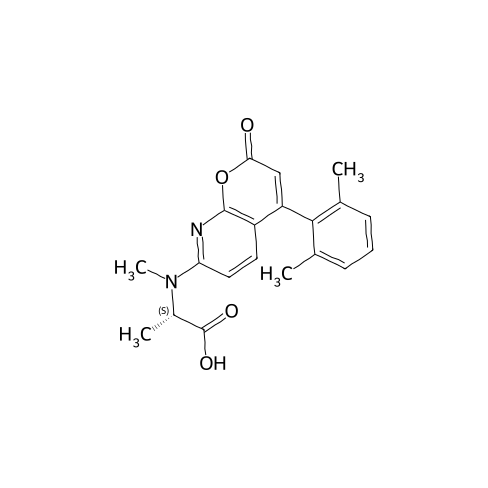 Cc1cccc(C)c1-c1cc(=O)oc2nc(N(C)[C@@H](C)C(=O)O)ccc12